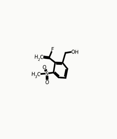 C=C(F)c1c(CO)cccc1S(C)(=O)=O